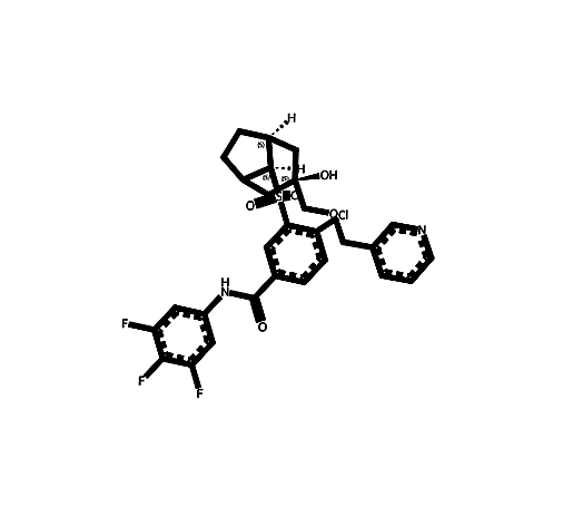 O=C(Nc1cc(F)c(F)c(F)c1)c1ccc(Cl)c(S(=O)(=O)[C@H]2C3CC[C@H]2C[C@](O)(COCc2cccnc2)C3)c1